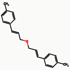 Cc1ccc(C=CCOCC=Cc2ccc(C)cc2)cc1